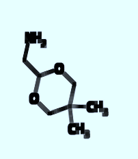 CC1(C)COC(CN)OC1